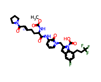 COC(=O)NC(CC/C=C/C(=O)N1CCCC1)C(=O)Nc1cccn(Cc2cc3cc(F)cc(CCC(F)(F)F)c3n2C(=O)O)c1=O